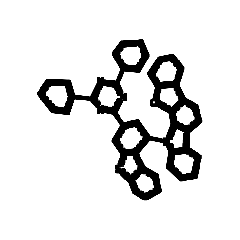 c1ccc(-c2nc(-c3ccccc3)nc(-c3cc(-n4c5ccccc5c5ccc6c7ccccc7oc6c54)c4c(c3)sc3ccccc34)n2)cc1